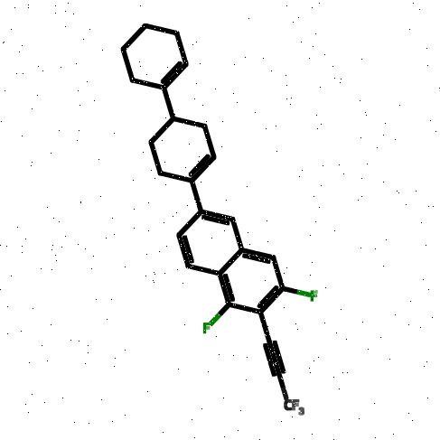 Fc1cc2cc(C3=CCC(C4=CCCCC4)CC3)ccc2c(F)c1C#CC(F)(F)F